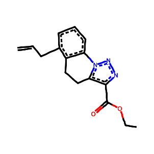 C=CCc1cccc2c1CCc1c(C(=O)OCC)nnn1-2